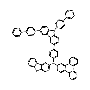 c1ccc(-c2ccc(-c3ccc4c(c3)c3cc(-c5ccc(N(c6ccc7sc8ccccc8c7c6)c6ccc7c8ccccc8c8ccccc8c7c6)cc5)ccc3n4-c3ccc(-c4ccccc4)cc3)cc2)cc1